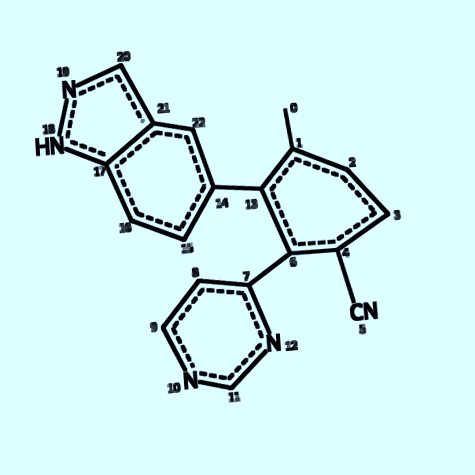 Cc1ccc(C#N)c(-c2ccncn2)c1-c1ccc2[nH]ncc2c1